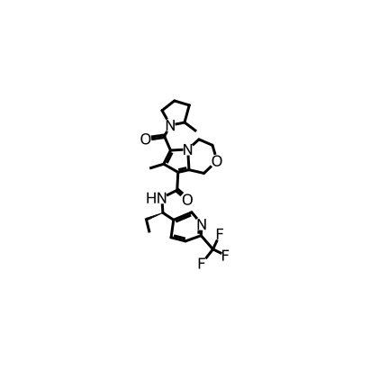 CC[C@@H](NC(=O)c1c(C)c(C(=O)N2CCCC2C)n2c1COCC2)c1ccc(C(F)(F)F)nc1